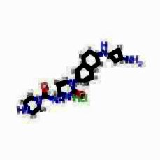 Cl.N[C@H]1C[C@H](NC2CCc3cc(-n4ccc(NC(=O)N5CCNCC5)nc4=O)ccc3C2)C1